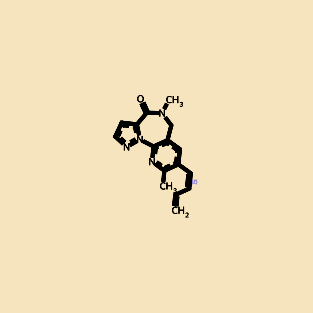 C=C/C=C\c1cc2c(nc1C)-n1nccc1C(=O)N(C)C2